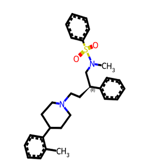 Cc1ccccc1C1CCN(CC[C@@H](CN(C)S(=O)(=O)c2ccccc2)c2ccccc2)CC1